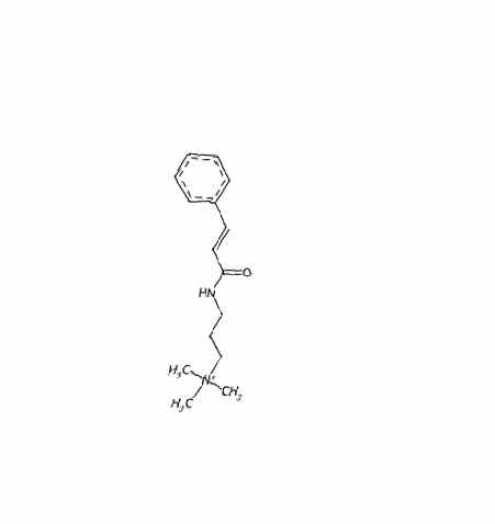 C[N+](C)(C)CCCNC(=O)/C=C/c1ccccc1